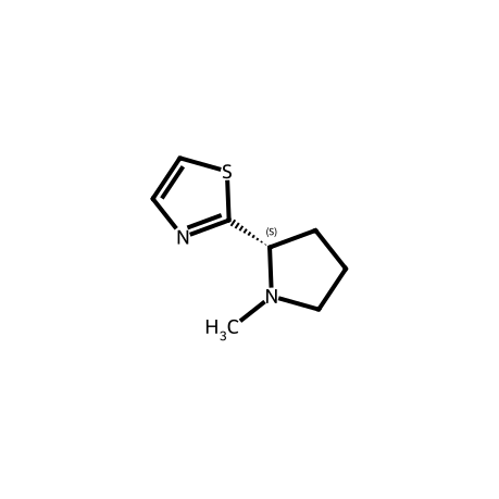 CN1CCC[C@H]1c1nccs1